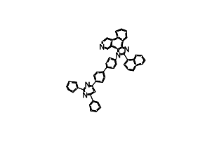 c1ccc(-c2cc(-c3ccc(-c4ccc(-n5c(-c6cccc7ccccc67)nc6c7ccccc7c7ccncc7c65)cc4)cc3)nc(-c3ccccc3)n2)cc1